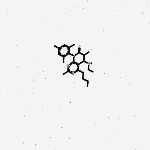 CCCCc1nc(C)nc2c1C(NCC)C(C)C(=O)N2c1c(C)cc(C)cc1C